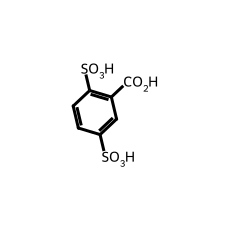 O=C(O)c1cc(S(=O)(=O)O)ccc1S(=O)(=O)O